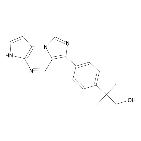 CC(C)(CO)c1ccc(-c2ncn3c2cnc2[nH]ccc23)cc1